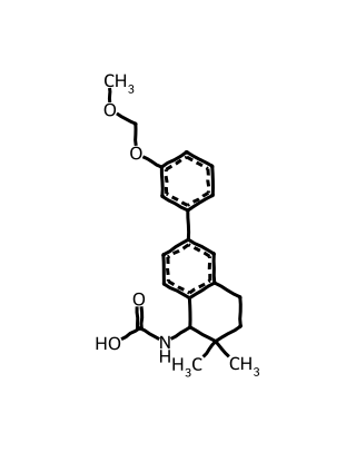 COCOc1cccc(-c2ccc3c(c2)CCC(C)(C)C3NC(=O)O)c1